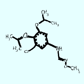 CON=CNc1cc(Cl)c(OC(C)C)c(OC(C)C)c1